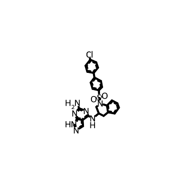 Nc1nc(NC2Cc3ccccc3N(S(=O)(=O)c3ccc(-c4ccc(Cl)cc4)cc3)C2)c2cn[nH]c2n1